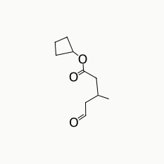 CC(CC=O)CC(=O)OC1CCC1